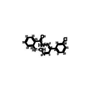 O=C(N/N=C(\C=N/O)c1cccc(Cl)c1)c1ccccc1F